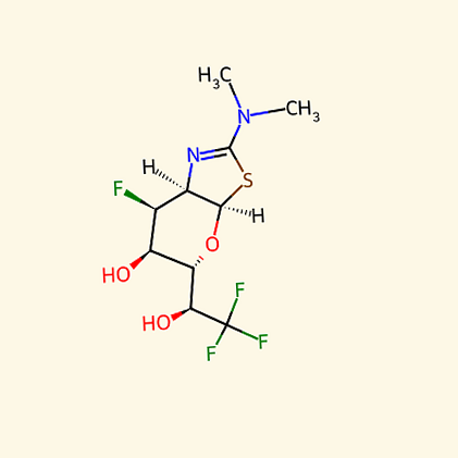 CN(C)C1=N[C@@H]2[C@H](F)[C@H](O)[C@@H]([C@H](O)C(F)(F)F)O[C@@H]2S1